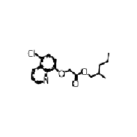 CCCC(C)COC(=O)COc1ccc(Cl)c2cccnc12